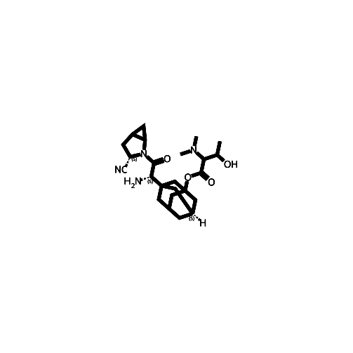 CC(O)C(C(=O)OC12CC3C[C@H](C1)CC([C@H](N)C(=O)N1C4CC4C[C@H]1C#N)(C3)C2)N(C)C